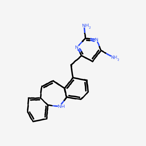 Nc1cc(Cc2cccc3c2C=Cc2ccccc2N3)nc(N)n1